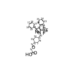 O=C(O)COCC1CCC(Cn2nc(-c3ccccc3)c(-c3ccccc3)c2C(F)(F)F)CC1